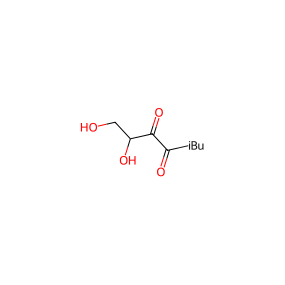 CCC(C)C(=O)C(=O)C(O)CO